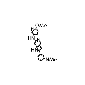 CNc1cccc(-c2cc3cnc(Nc4ccc(OC)nc4)cc3[nH]2)c1